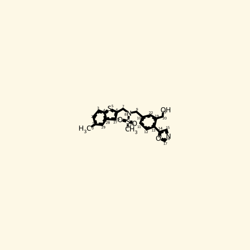 Cc1ccc2sc(CN(Cc3ccc(-c4cnco4)c(CO)c3)S(C)(=O)=O)cc2c1